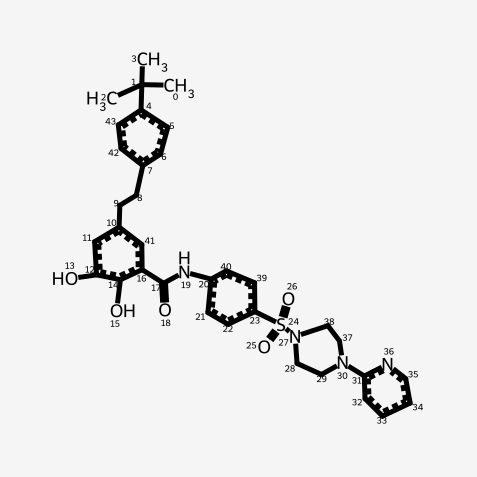 CC(C)(C)c1ccc(CCc2cc(O)c(O)c(C(=O)Nc3ccc(S(=O)(=O)N4CCN(c5ccccn5)CC4)cc3)c2)cc1